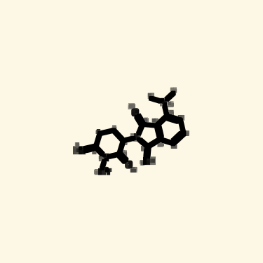 CCCN1C(=N)CCC(N2C(=N)c3cccc(N(C)C)c3C2=O)C1=O